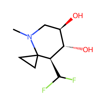 CN1C[C@@H](O)[C@H](O)[C@@H](C(F)F)C12CC2